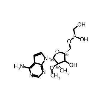 CO[C@]1(C)C(O)[C@@H](COP(O)CO)O[C@H]1n1ccc2c(N)ncnc21